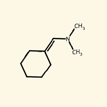 CN(C)C=C1CCCCC1